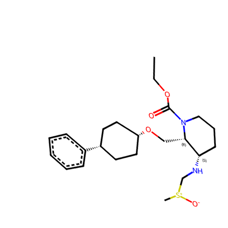 CCOC(=O)N1CCC[C@H](NC[S+](C)[O-])[C@@H]1CO[C@H]1CC[C@@H](c2ccccc2)CC1